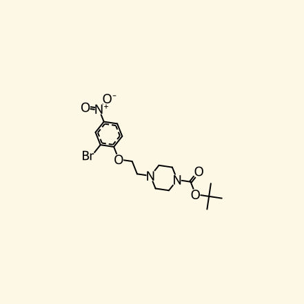 CC(C)(C)OC(=O)N1CCN(CCOc2ccc([N+](=O)[O-])cc2Br)CC1